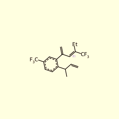 C=CC(C)c1ccc(C(F)(F)F)cc1C(=C)/C=C(\CC)C(F)(F)F